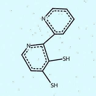 Sc1ccnc(-c2ccccn2)c1S